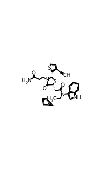 C#Cc1ccsc1[C@@H]1S[C@H](CC(=O)N(CC)c2c[nH]c3ccccc23)C(=O)N1CCC(N)=O.c1cc2cc-2c1